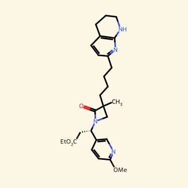 CCOC(=O)C[C@@H](c1ccc(OC)nc1)N1CC(C)(CCCCc2ccc3c(n2)NCCC3)C1=O